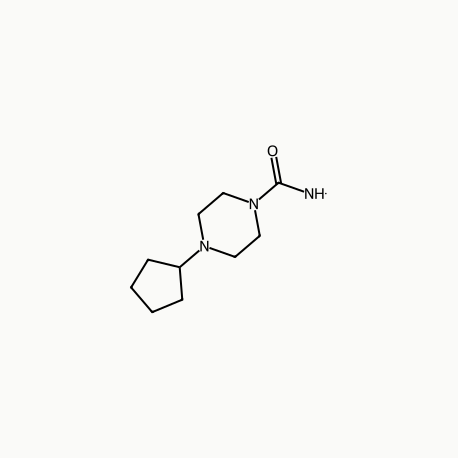 [NH]C(=O)N1CCN(C2CCCC2)CC1